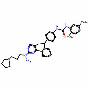 COc1ccc(OC)c(NC(=O)Nc2ccc(C3Cc4cnc(N(N)CCCN5CCCC5)nc4-c4ccccc43)cc2)c1